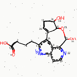 O=C(O)CCCc1[nH]c2ccnc3c2c1C1=CCC(O)C1OC3O